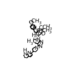 CCc1c(NC[C@H](NC(=O)Cc2ccc(OC)cc2)C(=O)OC(C)(C)C)ncnc1N1CCC(c2ccc3c(n2)NCCC3)CC1